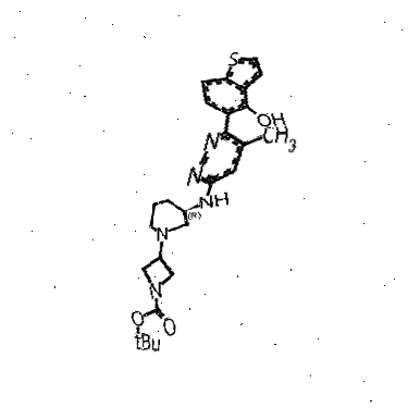 Cc1cc(N[C@@H]2CCCN(C3CN(C(=O)OC(C)(C)C)C3)C2)nnc1-c1ccc2sccc2c1O